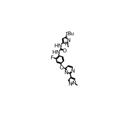 Cn1cc(-c2nccc(Oc3ccc(NC(=O)Nc4cc(C(C)(C)C)nn4C)c(F)c3)n2)cn1